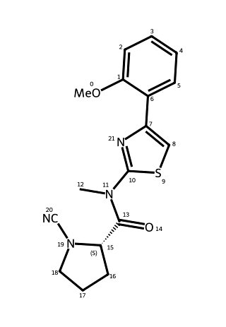 COc1ccccc1-c1csc(N(C)C(=O)[C@@H]2CCCN2C#N)n1